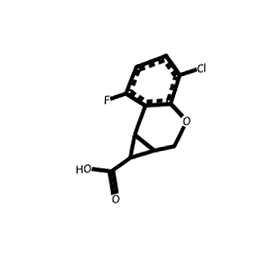 O=C(O)C1C2COc3c(Cl)ccc(F)c3C21